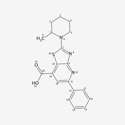 CC1CCCCN1c1nc2nc(-c3ccccc3)cc(C(=O)O)c2s1